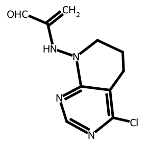 C=C(C=O)NN1CCCc2c(Cl)ncnc21